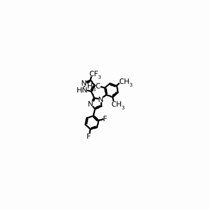 Cc1cc(C)c(-n2cc(-c3ccc(F)cc3F)nc2-c2cc(C(F)(F)F)n[nH]2)c(C)c1